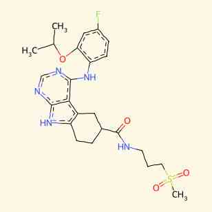 CC(C)Oc1cc(F)ccc1Nc1ncnc2[nH]c3c(c12)CC(C(=O)NCCCS(C)(=O)=O)CC3